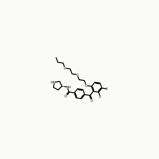 CCCOCCOCCOc1ccc(F)c(F)c1C(=O)c1ccc(C(=O)N[C@H]2CCNC2)cc1